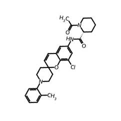 CC(=O)N1CCCC[C@@H]1C(=O)Nc1cc(Cl)c2c(c1)C=CC1(CCN(c3ccccc3C)CC1)O2